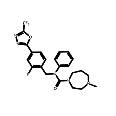 CN1CCCN(C(=O)N(Cc2ccc(-c3nnc(C(F)(F)F)o3)cc2F)c2ccccc2)CC1